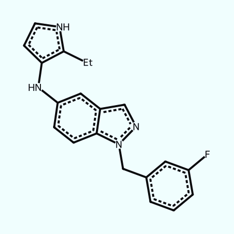 CCc1[nH]ccc1Nc1ccc2c(cnn2Cc2cccc(F)c2)c1